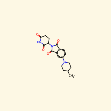 [CH2]C1CCN(c2ccc3c(c2)C(=O)N(C2CCC(=O)NC2=O)C3=O)CC1